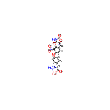 NC(Cc1ccc(Oc2ccc(/C=C3/OC(=O)NC3=O)cc2[N+](=O)[O-])cc1)C(=O)O